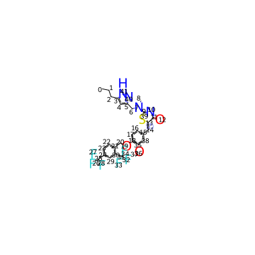 CCCc1cc(CN(C)C2=NC(=O)/C(=C/c3ccc(OCc4ccc(C(F)(F)F)cc4C(F)(F)F)c(OC)c3)S2)n[nH]1